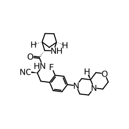 N#C[C@H](Cc1ccc(N2CCN3CCOC[C@H]3C2)cc1F)NC(=O)[C@H]1N[C@@H]2CC[C@H]1C2